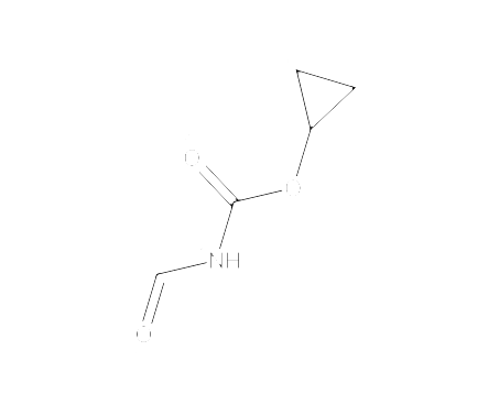 O=CNC(=O)OC1CC1